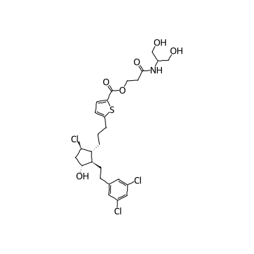 O=C(CCOC(=O)c1ccc(CCC[C@@H]2[C@@H](CCc3cc(Cl)cc(Cl)c3)[C@H](O)C[C@H]2Cl)s1)NC(CO)CO